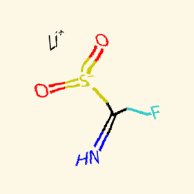 N=C(F)[S-](=O)=O.[Li+]